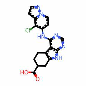 O=C(O)C1CCc2c([nH]c3ncnc(Nc4ccn5nccc5c4Cl)c23)C1